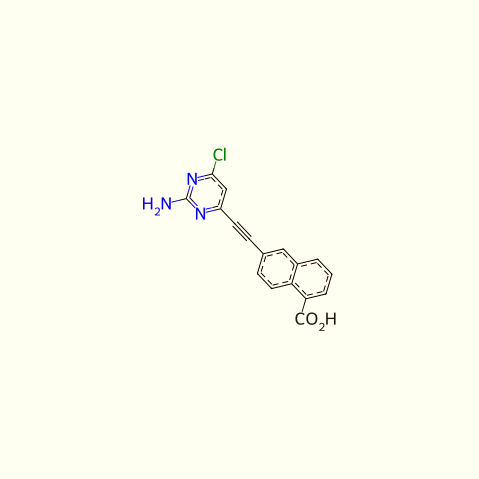 Nc1nc(Cl)cc(C#Cc2ccc3c(C(=O)O)cccc3c2)n1